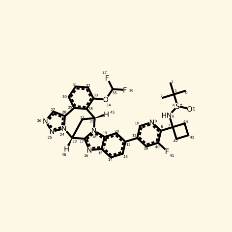 CC(C)(C)[S+]([O-])NC1(c2ncc(-c3ccc4nc5n(c4c3)[C@@H]3C[C@H]5n4nncc4-c4cccc(OC(F)F)c43)cc2F)CCC1